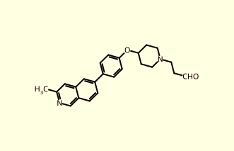 Cc1cc2cc(-c3ccc(OC4CCN(CCC=O)CC4)cc3)ccc2cn1